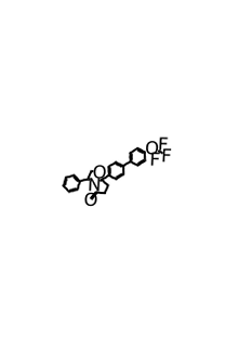 O=C1CCC2(c3ccc(-c4ccc(OC(F)(F)F)cc4)cc3)OCC(c3ccccc3)N12